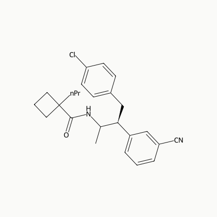 CCCC1(C(=O)NC(C)[C@@H](Cc2ccc(Cl)cc2)c2cccc(C#N)c2)CCC1